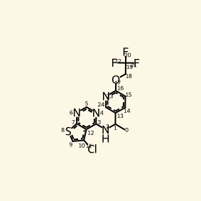 CC(Nc1ncnc2scc(Cl)c12)c1ccc(OCC(F)(F)F)nc1